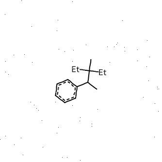 CCC(C)(CC)C(C)c1ccccc1